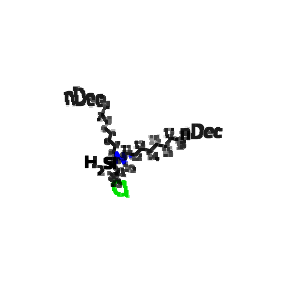 CCCCCCCCCCCCCCCCCC[N+](C)(CCCCCCCCCCCCCCCCCC)[SiH2]CCCl